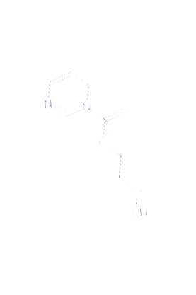 COCCOC(=O)N1C=NC=CC1